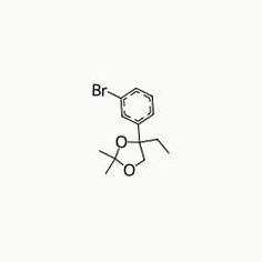 CCC1(c2cccc(Br)c2)COC(C)(C)O1